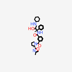 Cc1coc([C@H]2CCCN2C(=O)c2cccc(C(=O)N[C@@](C)(c3ccccc3)[C@H](O)CNC3CCCCC3)c2)n1